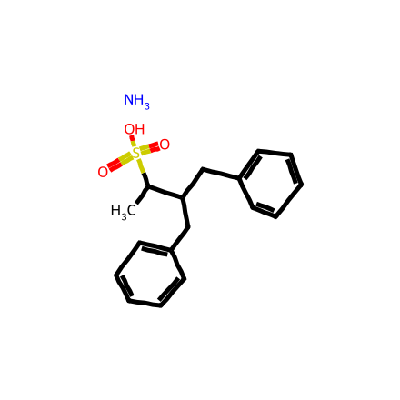 CC(C(Cc1ccccc1)Cc1ccccc1)S(=O)(=O)O.N